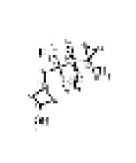 CC(C)(CN1CC(O)C1)S(=O)(=O)C1(C)CC1